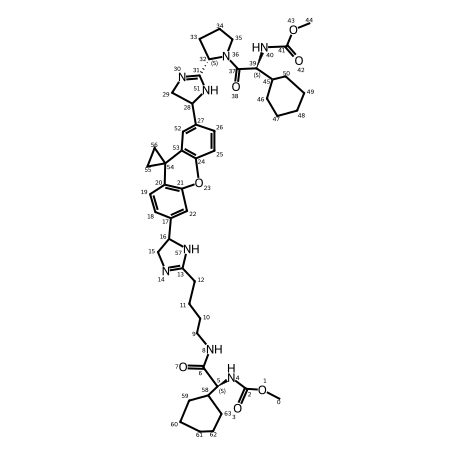 COC(=O)N[C@H](C(=O)NCCCCC1=NCC(c2ccc3c(c2)Oc2ccc(C4CN=C([C@@H]5CCCN5C(=O)[C@@H](NC(=O)OC)C5CCCCC5)N4)cc2C32CC2)N1)C1CCCCC1